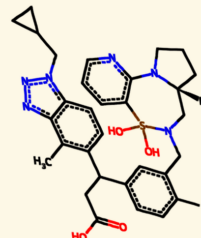 Cc1ccc(C(CC(=O)O)c2ccc3c(nnn3CC3CC3)c2C)cc1CN1C[C@H]2CCCN2c2ncccc2S1(O)O